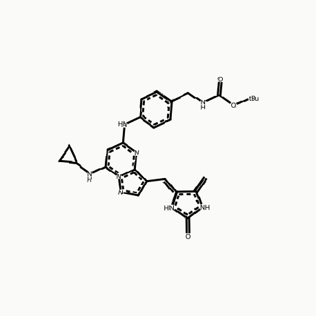 C=c1[nH]c(=O)[nH]/c1=C\c1cnn2c(NC3CC3)cc(Nc3ccc(CNC(=O)OC(C)(C)C)cc3)nc12